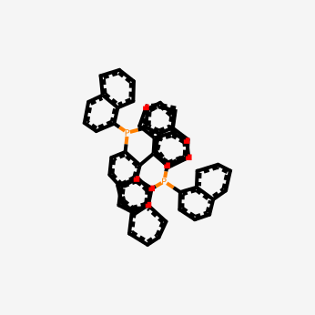 c1ccc2c(P(c3ccc4ccccc4c3-c3c(P(c4cccc5ccccc45)c4cccc5ccccc45)ccc4ccccc34)c3cccc4ccccc34)cccc2c1